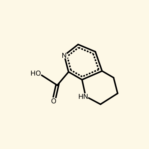 O=C(O)c1nccc2c1NCCC2